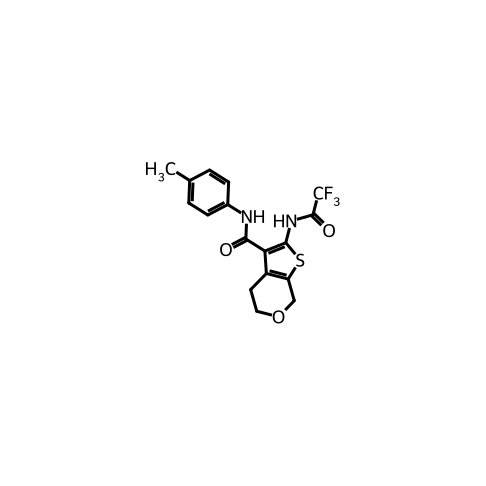 Cc1ccc(NC(=O)c2c(NC(=O)C(F)(F)F)sc3c2CCOC3)cc1